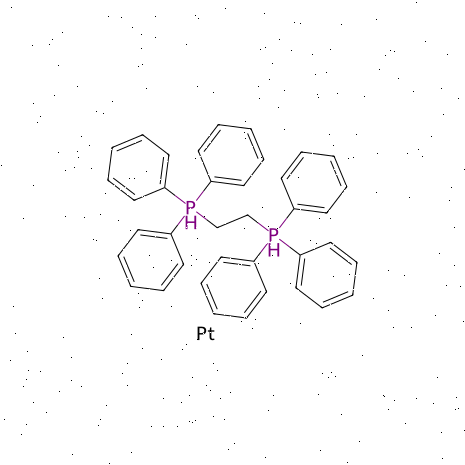 [Pt].c1ccc([PH](CC[PH](c2ccccc2)(c2ccccc2)c2ccccc2)(c2ccccc2)c2ccccc2)cc1